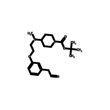 CN(CCOc1cccc(CC=O)c1)C1CCN(C(=O)OC(C)(C)C)CC1